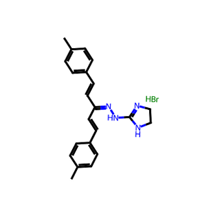 Br.Cc1ccc(C=CC(C=Cc2ccc(C)cc2)=NNC2=NCCN2)cc1